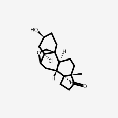 C[C@]12CC[C@H]3[C@@H](CC4OC[C@@]35CC[C@H](O)C[C@]45Cl)[C@@H]1CCC2=O